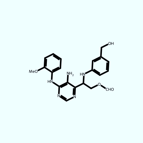 COc1ccccc1Nc1ncnc(C(COC=O)Nc2cccc(CO)c2)c1N